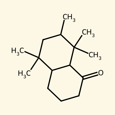 CC1CC(C)(C)C2CCCC(=O)C2C1(C)C